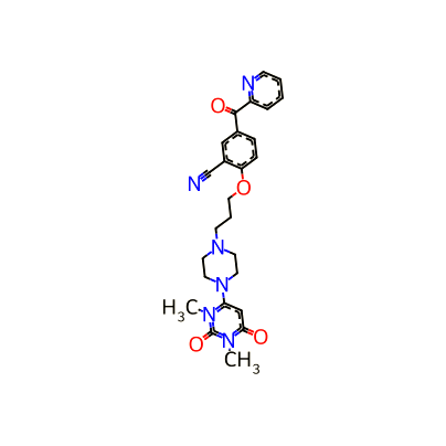 Cn1c(N2CCN(CCCOc3ccc(C(=O)c4ccccn4)cc3C#N)CC2)cc(=O)n(C)c1=O